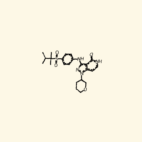 CC(C)C(C)(C)S(=O)(=O)c1ccc(Nc2nn([C]3CCCOC3)c3cc[nH]c(=O)c23)cc1